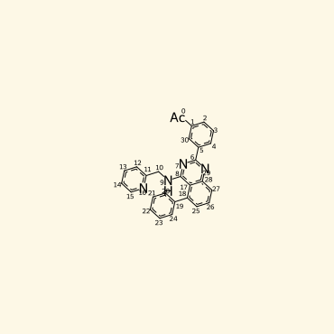 CC(=O)c1cccc(-c2nc(NCc3ccccn3)c3c(-c4ccccc4)cccc3n2)c1